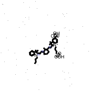 CCCCN1/C(=C/C=C2\CCCC(/C=C/C3=[N+](CCCCS(=O)(=O)O)c4ccc(S(=O)(=O)O)cc4C3(C)C)=C2C)C(C)(C)c2ccccc21